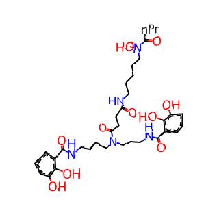 CCCC(=O)N(O)CCCCCNC(=O)CCC(=O)N(CCCCNC(=O)c1cccc(O)c1O)CCCNC(=O)c1cccc(O)c1O